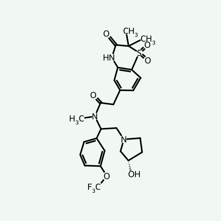 CN(C(=O)Cc1ccc2c(c1)NC(=O)C(C)(C)S2(=O)=O)C(CN1CC[C@H](O)C1)c1cccc(OC(F)(F)F)c1